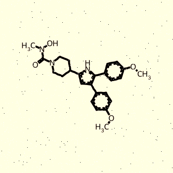 COc1ccc(-c2cc(C3CCN(C(=O)N(C)O)CC3)[nH]c2-c2ccc(OC)cc2)cc1